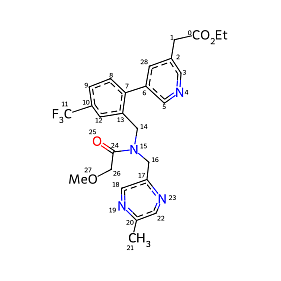 CCOC(=O)Cc1cncc(-c2ccc(C(F)(F)F)cc2CN(Cc2cnc(C)cn2)C(=O)COC)c1